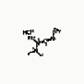 CCCN=C=[N+](CC)N(C)C.Cl